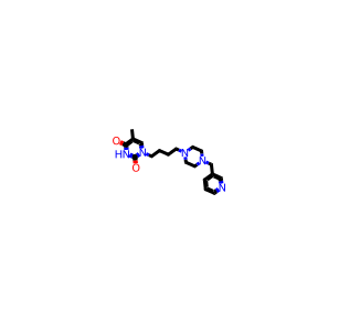 Cc1cn(CCCCN2CCN(Cc3cccnc3)CC2)c(=O)[nH]c1=O